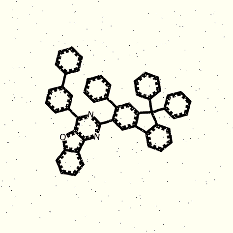 c1ccc(-c2cccc(-c3nc(-c4cc5c(cc4-c4ccccc4)C(c4ccccc4)(c4ccccc4)c4ccccc4-5)nc4c3oc3ccccc34)c2)cc1